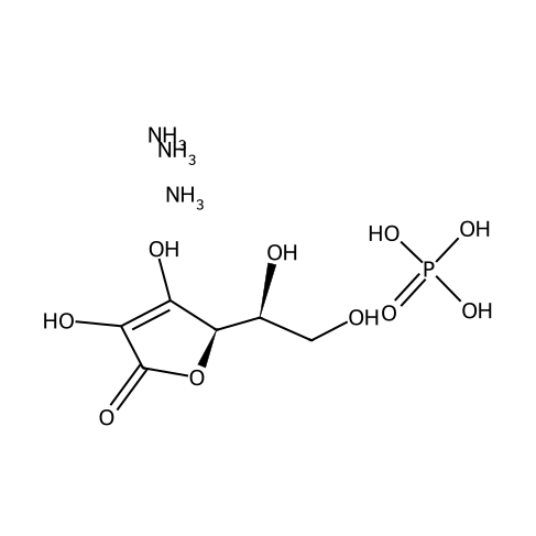 N.N.N.O=C1O[C@H]([C@@H](O)CO)C(O)=C1O.O=P(O)(O)O